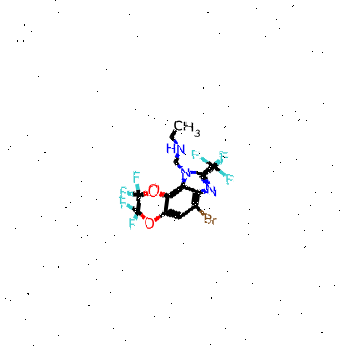 CCNCn1c(C(F)(F)F)nc2c(Br)cc3c(c21)OC(F)(F)C(F)(F)O3